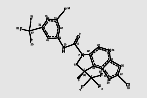 C[C@@]1(C(F)(F)F)CN(C(=O)Nc2cc(F)nc(C(F)(F)F)c2)c2cnc3cc(Cl)nn3c21